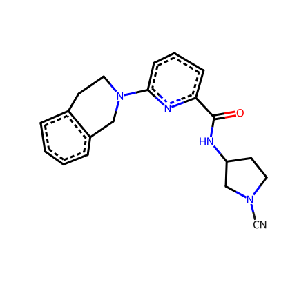 N#CN1CCC(NC(=O)c2cccc(N3CCc4ccccc4C3)n2)C1